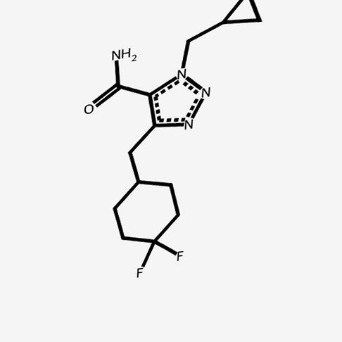 NC(=O)c1c(CC2CCC(F)(F)CC2)nnn1CC1CC1